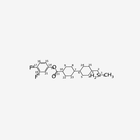 C[SiH2]CC1CCC(C2CCC(C(=O)Oc3ccc(F)c(F)c3)CC2)CC1